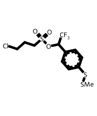 CSSc1ccc(C(OS(=O)(=O)CCCCl)C(F)(F)F)cc1